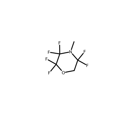 CN1C(F)(F)COC(F)(F)C1(F)F